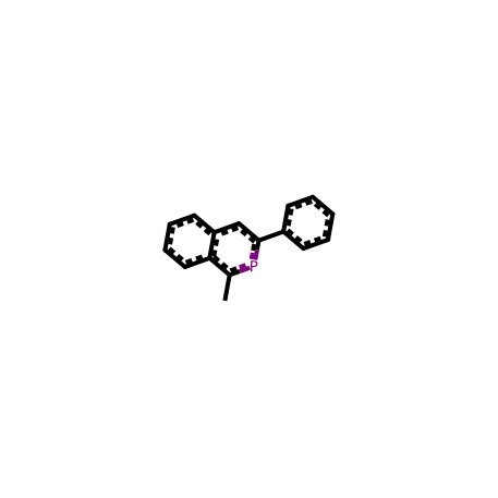 Cc1pc(-c2ccccc2)cc2ccccc12